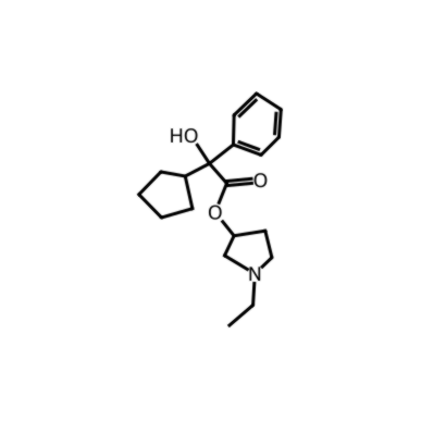 CCN1CCC(OC(=O)C(O)(c2ccccc2)C2CCCC2)C1